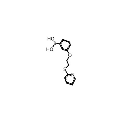 OB(O)c1cccc(OCCSc2ccccn2)c1